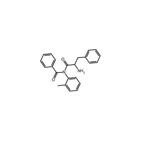 Cc1ccccc1N(C(=O)c1ccccc1)C(=O)C(N)Cc1ccccc1